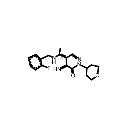 C/C(NCc1ccccc1F)=C1\C=NN(C2CCOCC2)C(=O)C1=N